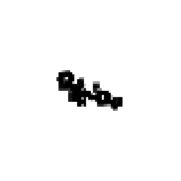 C1CO1.Fc1ccccc1CCNC(=S)Nc1ccccn1